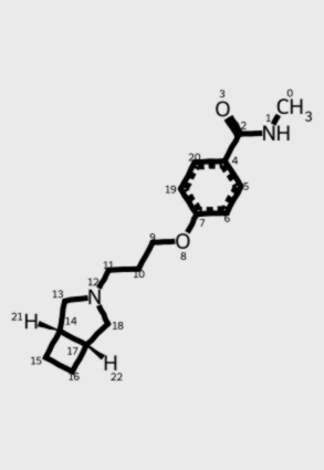 CNC(=O)c1ccc(OCCCN2C[C@H]3CC[C@H]3C2)cc1